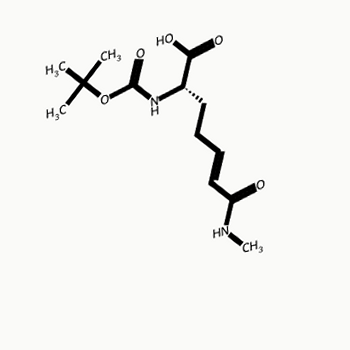 CNC(=O)/C=C/CC[C@H](NC(=O)OC(C)(C)C)C(=O)O